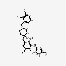 CCc1cc(CC2(C(=O)O)CCN(Cc3cccc(Cl)c3F)CC2)nc(Nc2cc(C)[nH]n2)c1F